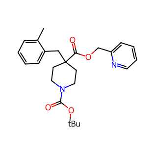 Cc1ccccc1CC1(C(=O)OCc2ccccn2)CCN(C(=O)OC(C)(C)C)CC1